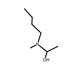 [CH2]C(O)N(C)CCCC